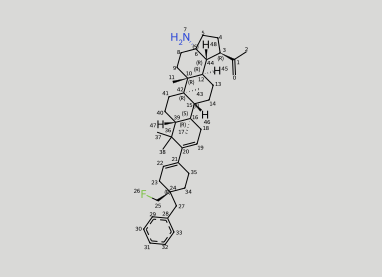 C=C(C)[C@@H]1CC[C@]2(N)CC[C@]3(C)[C@H](CC[C@@H]4[C@@]5(C)CC=C(C6=CC[C@@](CF)(Cc7ccccc7)CC6)C(C)(C)[C@@H]5CC[C@]43C)[C@@H]12